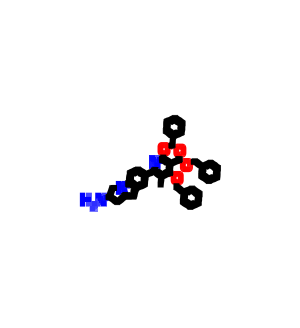 Cc1c(-c2ccc3c(c2)cc2n3CC(N)C2)nc(OCc2ccccc2)c(C(=O)OCc2ccccc2)c1OCc1ccccc1